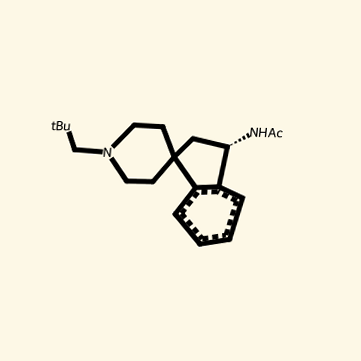 CC(=O)N[C@H]1CC2(CCN(CC(C)(C)C)CC2)c2ccccc21